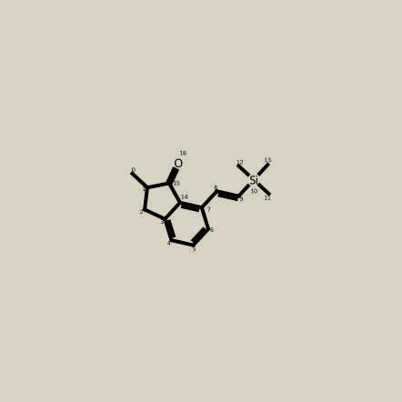 CC1Cc2cccc(C=C[Si](C)(C)C)c2C1=O